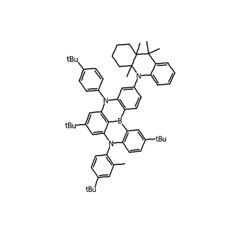 Cc1cc(C(C)(C)C)ccc1N1c2ccc(C(C)(C)C)cc2B2c3ccc(N4c5ccccc5C(C)(C)C5(C)CCCCC45C)cc3N(c3ccc(C(C)(C)C)cc3)c3cc(C(C)(C)C)cc1c32